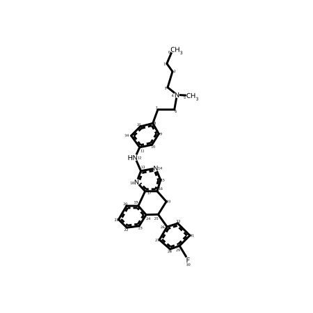 CCCCN(C)CCc1ccc(Nc2ncc3c(n2)-c2ccccc2C(c2ccc(F)cc2)C3)cc1